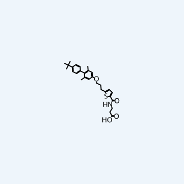 Cc1cc(OCCCc2ccc(C(=O)NCCC(=O)O)s2)cc(C)c1-c1ccc(C(C)(C)C)cc1